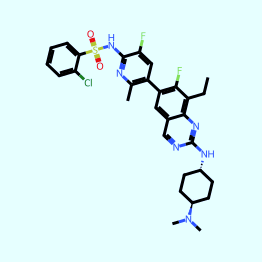 CCc1c(F)c(-c2cc(F)c(NS(=O)(=O)c3ccccc3Cl)nc2C)cc2cnc(N[C@H]3CC[C@H](N(C)C)CC3)nc12